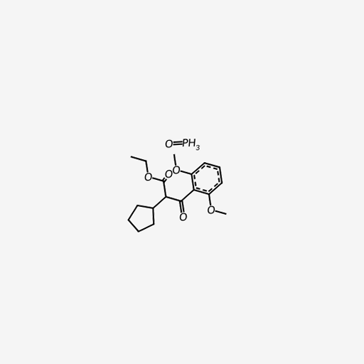 CCOC(=O)C(C(=O)c1c(OC)cccc1OC)C1CCCC1.O=[PH3]